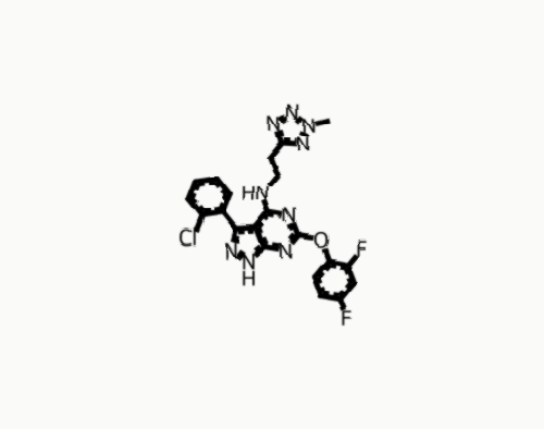 Cn1nnc(CCNc2nc(Oc3ccc(F)cc3F)nc3[nH]nc(-c4ccccc4Cl)c23)n1